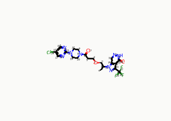 CC(COCCC(=O)N1CCN(c2ncc(Cl)cn2)CC1)n1nc(C(F)(F)F)c2c(=O)[nH]ncc21